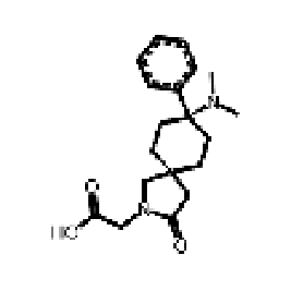 CN(C)[C@]1(c2ccccc2)CC[C@@]2(CC1)CC(=O)N(CC(=O)O)C2